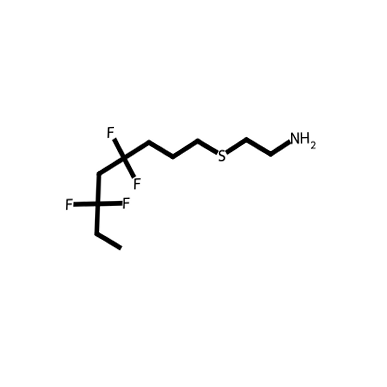 CCC(F)(F)CC(F)(F)CCCSCCN